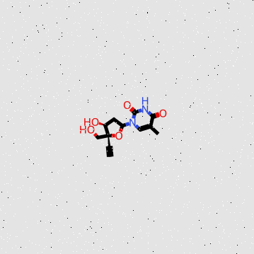 C#C[C@]1(CO)OC(n2cc(C)c(=O)[nH]c2=O)C[C@@H]1O